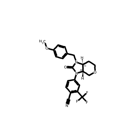 COc1ccc(CN2C(=O)N(c3ccc(C#N)c(C(F)(F)F)c3)[C@H]3COCC[C@@H]32)cc1